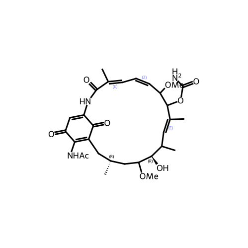 COC1/C=C\C=C(/C)C(=O)NC2=CC(=O)C(NC(C)=O)=C(C[C@@H](C)CC(OC)[C@H](O)C(C)/C=C(\C)C1OC(N)=O)C2=O